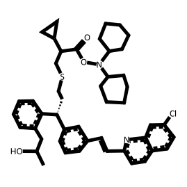 CC(O)Cc1ccccc1[C@H](CCSCC(C(=O)ON(C1CCCCC1)C1CCCCC1)C1CC1)c1cccc(C=Cc2ccc3ccc(Cl)cc3n2)c1